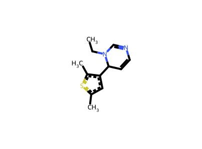 CCN1C=NC=CC1c1cc(C)sc1C